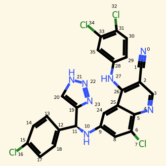 N#Cc1cnc2c(Cl)cc(N[C@@H](c3ccc(Cl)cc3)c3c[nH]nn3)cc2c1Nc1ccc(Cl)c(Cl)c1